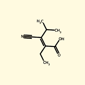 CCC(C(=O)O)=C(C#N)C(C)C